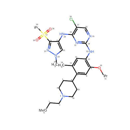 COCCN1CCC(c2cc(OC(C)C)c(Nc3ncc(Cl)c(Nc4cn(C)nc4S(=O)(=O)C(C)C)n3)cc2C)CC1